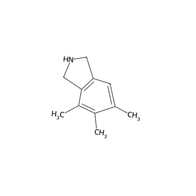 Cc1cc2c(c(C)c1C)CNC2